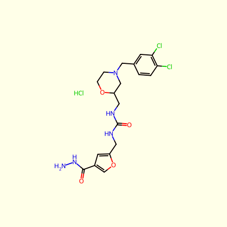 Cl.NNC(=O)c1coc(CNC(=O)NCC2CN(Cc3ccc(Cl)c(Cl)c3)CCO2)c1